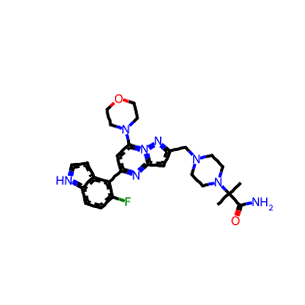 CC(C)(C(N)=O)N1CCN(Cc2cc3nc(-c4c(F)ccc5[nH]ccc45)cc(N4CCOCC4)n3n2)CC1